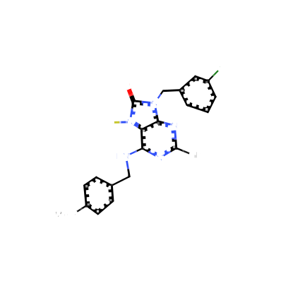 CCCc1nc(NCc2ccc(OC)cc2)c2c(n1)n(Cc1cccc(Cl)c1)c(=O)n2S